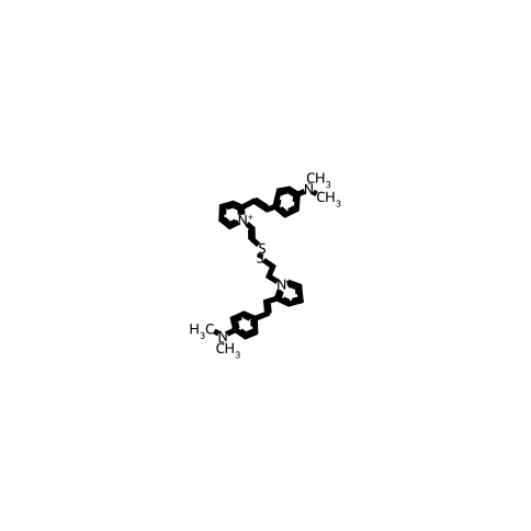 CN(C)c1ccc(/C=C/c2cccc[n+]2/C=C/SSCC[n+]2ccccc2/C=C/c2ccc(N(C)C)cc2)cc1